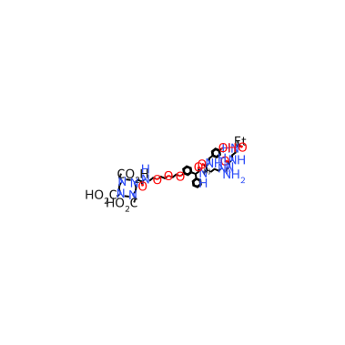 CCC(=O)NCCNC(=O)/N=C(/N)NCCC[C@@H](NC(=O)C(c1ccccc1)c1cccc(OCCOCCOCCNC(=O)CN2CCN(CC(=O)O)CCN(CC(=O)O)CCN(CC(=O)O)CC2)c1)C(=O)NCc1ccc(O)cc1